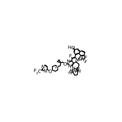 Cc1c(F)ccc2cc(O)cc(-c3c(F)c4nc(OCC5(CN6CCC(Oc7ccnc(C(F)(F)F)n7)CC6)CC5)nc5c4c([n+]3C)CC[C@@H]3[C@@H]4CC[C@H](CN53)N4)c12